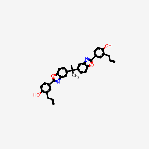 C=CCc1cc(-c2nc3cc(C(C)(c4ccc5oc(-c6ccc(O)c(CC=C)c6)nc5c4)C(F)(F)F)ccc3o2)ccc1O